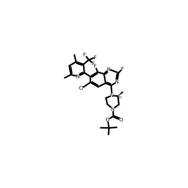 Cc1cc(C)c(C(F)(F)F)c(-c2c(Cl)cc3c(N4CCN(C(=O)OC(C)(C)C)C[C@@H]4C)nc(F)nc3c2F)n1